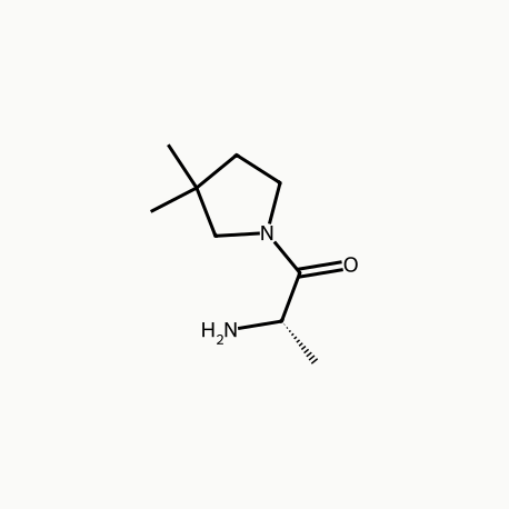 C[C@H](N)C(=O)N1CCC(C)(C)C1